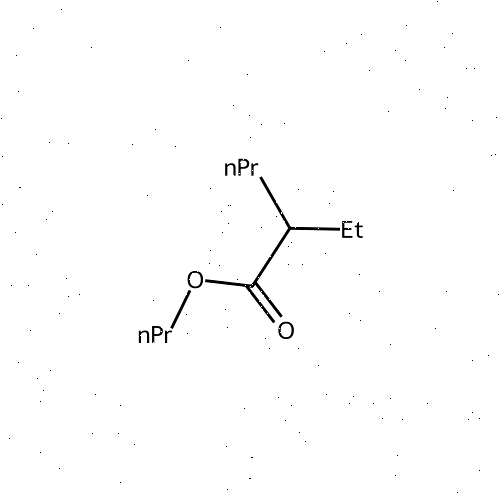 CCCOC(=O)C(CC)CCC